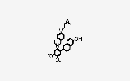 CCN(Cc1ccc(OCCN(C)C)cc1)c1cc(OC)c(OC)cc1C1CCc2cc(O)ccc2C1